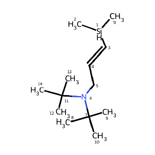 C[SiH](C)C=CCN(C(C)(C)C)C(C)(C)C